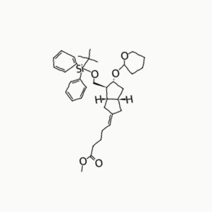 COC(=O)CCC/C=C1/C[C@H]2C[C@@H](OC3CCCCO3)[C@H](CO[Si](c3ccccc3)(c3ccccc3)C(C)(C)C)[C@H]2C1